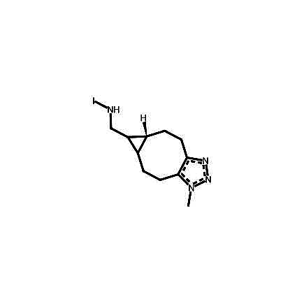 Cn1nnc2c1CCC1C(CNI)[C@@H]1CC2